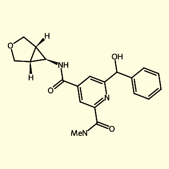 CNC(=O)c1cc(C(=O)N[C@H]2[C@@H]3COC[C@@H]32)cc(C(O)c2ccccc2)n1